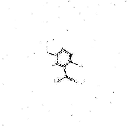 Cc1ccc(Cl)c(C(N)=O)n1